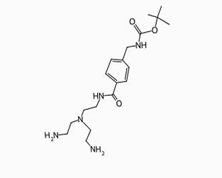 CC(C)(C)OC(=O)NCc1ccc(C(=O)NCCN(CCN)CCN)cc1